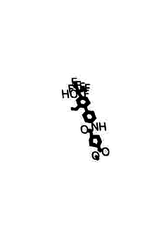 CCc1cc(C(O)(C(F)(F)F)C(F)(F)F)ccc1-c1ccc(NC(=O)c2ccc(C(=O)OC)cc2)cc1